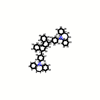 c1ccc2c(c1)CCc1ccccc1N2c1ccc(-c2cc3cc(-c4ccc(N5c6ccccc6CCc6ccccc65)cc4)c4ccccc4c3c3ccccc23)cc1